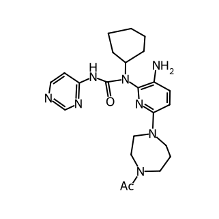 CC(=O)N1CCCN(c2ccc(N)c(N(C(=O)Nc3ccncn3)C3CCCCC3)n2)CC1